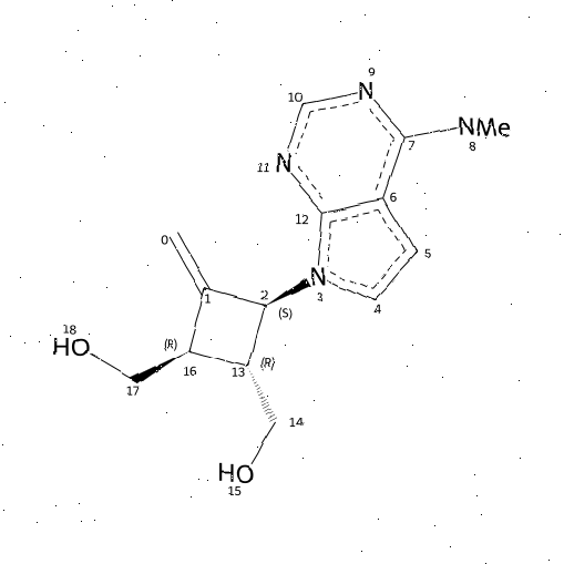 C=C1[C@@H](n2ccc3c(NC)ncnc32)[C@H](CO)[C@H]1CO